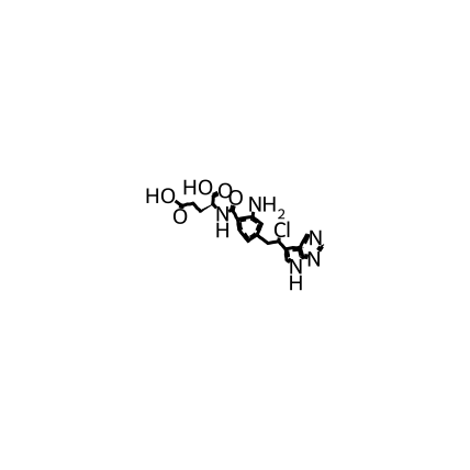 Nc1cc(CC(Cl)c2c[nH]c3ncncc23)ccc1C(=O)N[C@@H](CCC(=O)O)C(=O)O